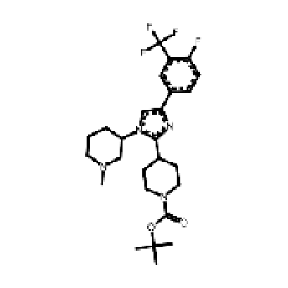 CN1CCCC(n2cc(-c3ccc(F)c(C(F)(F)F)c3)nc2C2CCN(C(=O)OC(C)(C)C)CC2)C1